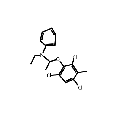 CCN(c1ccccc1)C(C)Oc1c(Cl)cc(Cl)c(C)c1Cl